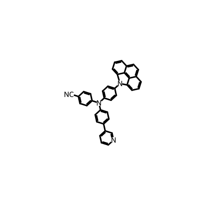 N#Cc1ccc(N(c2ccc(-c3cccnc3)cc2)c2ccc(-n3c4cccc5ccc6cccc3c6c54)cc2)cc1